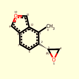 Cc1c([C@@H]2CO2)ccc2cocc12